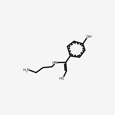 NCCCN/C(=C\S)c1ccc(O)cc1